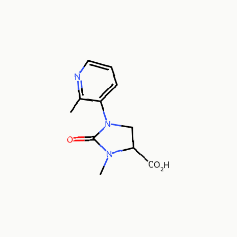 Cc1ncccc1N1CC(C(=O)O)N(C)C1=O